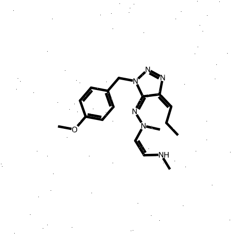 CC/C=C1/N=NN(Cc2ccc(OC)cc2)C1=NN(C)/C=C\NC